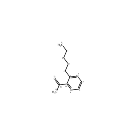 CCCCCc1nccnc1C(C)=O